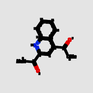 CNC(=O)c1cc(C(=O)OC)c2ccccc2n1